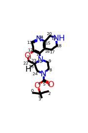 CC(C)(C)OC(=O)N1CCN2c3c(cnc4c3CCNC4)OC[C@H]2C1